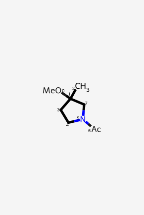 COC1(C)CCN(C(C)=O)C1